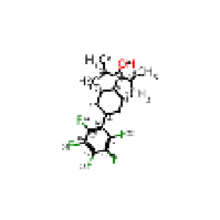 CC(C)[Si](O)(C(C)C)C1CCC(c2c(F)c(F)c(F)c(F)c2F)CC1